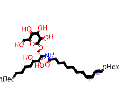 CCCCCC/C=C/C=C\CCCCCCCC(=O)N[C@@H](COC1OC(CO)C(O)C(O)C1O)[C@H](O)[C@H](O)CCCCCCCCCCCCCC